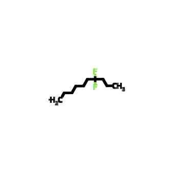 [CH2]CCCCCC(F)(F)CCC